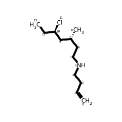 C=CCCNCC[C@@H](C)C[C@H](Cl)CC